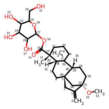 C=C1C[C@@]23CC[C@H]4[C@@](C)(CCC[C@@]4(C)C(=O)OC4OC(CO)C(O)C(O)C4O)[C@@H]2CC[C@]1(OC)C3